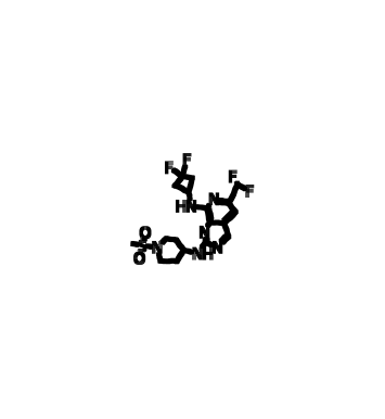 CS(=O)(=O)N1CCC(Nc2ncc3cc(C(F)F)nc(NC4CC(F)(F)C4)c3n2)CC1